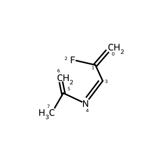 C=C(F)/C=N\C(=C)C